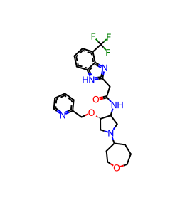 O=C(Cc1nc2c(C(F)(F)F)cccc2[nH]1)NC1CN(C2CCCOCC2)C[C@@H]1OCc1ccccn1